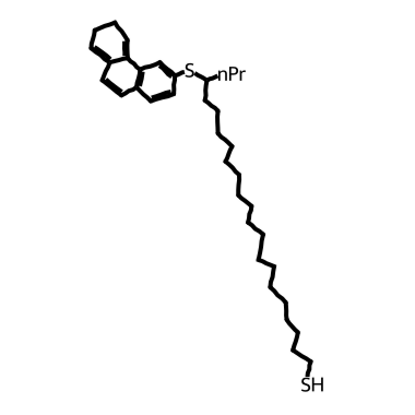 CCCC(CCCCCCCCCCCCCCCCCCS)Sc1ccc2ccc3c(c2c1)=CCCC=3